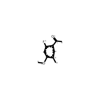 COc1cc(F)c(C(C)=O)cc1C